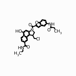 CCNC(=O)c1ccc2c(O)cc3c(c2c1)C(CCl)CN3C(=O)c1cc2cc(NC(=O)CC)ccc2o1